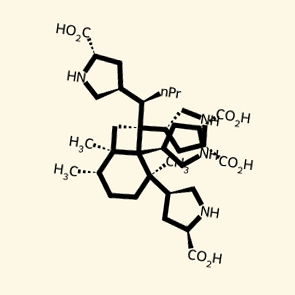 CCC[C@H]([C@H]1CN[C@H](C(=O)O)C1)[C@]1([C@@H]2CN[C@H](C(=O)O)C2)C[C@]2(C)[C@@H](C)CC[C@](C)([C@H]3CN[C@@H](C(=O)O)C3)C12[C@@H]1CN[C@@H](C(=O)O)C1